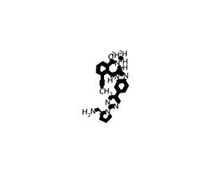 [2H]C([2H])([2H])N1C(=O)c2cccc(C#CC)c2[C@H]2C[C@@H]1c1nc3ccc(-c4cnc(N5CCC[C@H]5CN)nc4)cc3n12